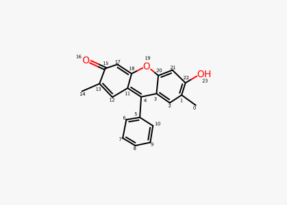 Cc1cc2c(-c3ccccc3)c3cc(C)c(=O)cc-3oc2cc1O